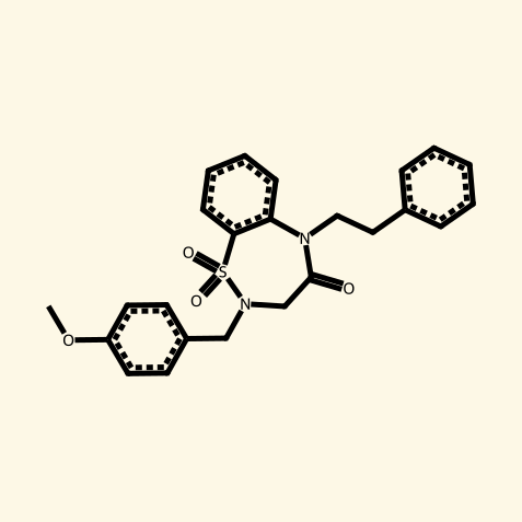 COc1ccc(CN2CC(=O)N(CCc3ccccc3)c3ccccc3S2(=O)=O)cc1